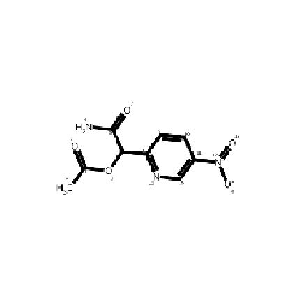 CC(=O)OC(C(N)=O)c1ccc([N+](=O)[O-])cn1